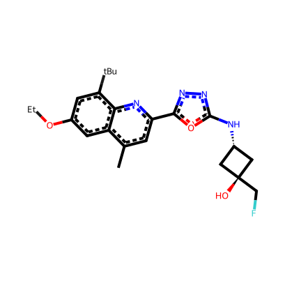 CCOc1cc(C(C)(C)C)c2nc(-c3nnc(N[C@H]4C[C@@](O)(CF)C4)o3)cc(C)c2c1